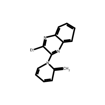 C=C1C=CC=CN1c1nc2ccccc2nc1CC